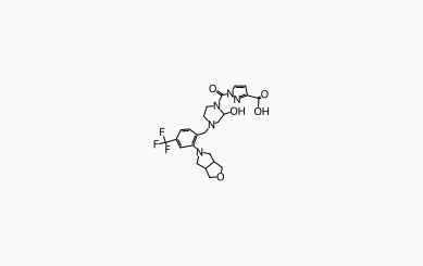 O=C(O)c1ccn(C(=O)N2CCN(Cc3ccc(C(F)(F)F)cc3N3CC4COCC4C3)CC2O)n1